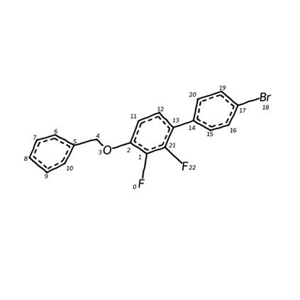 Fc1c(OCc2ccccc2)ccc(-c2ccc(Br)cc2)c1F